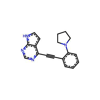 C(#Cc1ncnc2[nH]ccc12)c1ccccc1N1CCCC1